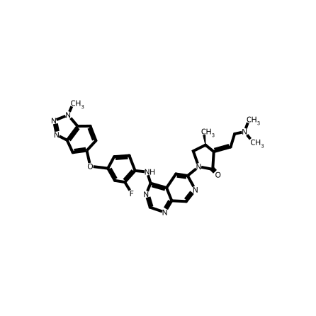 C[C@@H]1CN(c2cc3c(Nc4ccc(Oc5ccc6c(c5)nnn6C)cc4F)ncnc3cn2)C(=O)/C1=C/CN(C)C